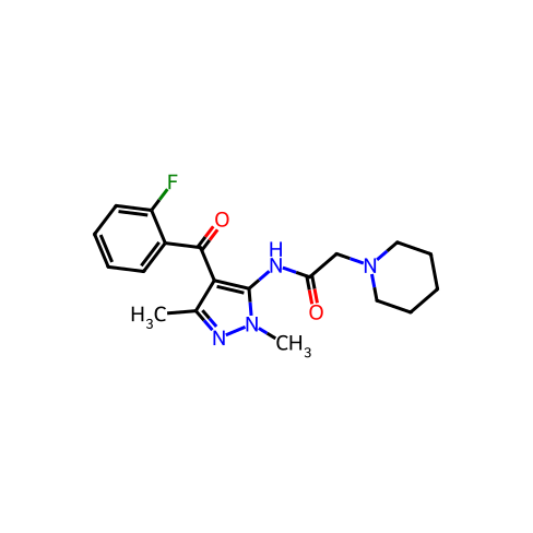 Cc1nn(C)c(NC(=O)CN2CCCCC2)c1C(=O)c1ccccc1F